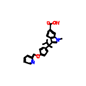 CC(C)C(C)(c1ccc(OCc2ccccn2)cc1)c1cn(C)c2cc(C(=O)O)ccc12